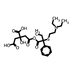 CCN(CC)CCSC(CC)(C(=O)OC(=O)CC(O)(CC(=O)O)C(=O)O)c1ccccc1